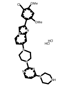 COc1cc(OC)c(-c2cn3ccc(N4CCN(c5nccc(N6CCNCC6)n5)CC4)cc3n2)cc1Cl.Cl.Cl